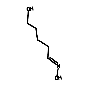 OCCCCC=NO